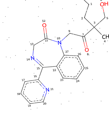 CCCC(C)(CO)C(=O)CN1C(=O)CN=C(c2ccccn2)c2ccccc21